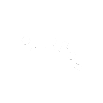 O=C(c1ccc(F)cc1)N1CCC(O)(Cn2cnc3c(cnn3-c3ccc(-n4cccn4)cc3)c2=O)CC1